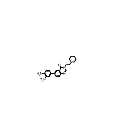 Nc1ccc(-c2ccc3ncn(CCN4CCCCC4)c(=O)c3c2)cc1[N+](=O)[O-]